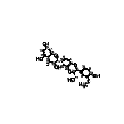 COc1cc(C2Oc3ccc([C@H]4Oc5cc(O)cc(O)c5C(=O)[C@@H]4O)cc3OC2CO)ccc1O